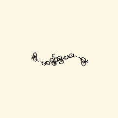 C=C(C)C(=O)OCCCCCOc1ccc(C(=O)Oc2cc(F)c(OC(=O)c3ccc(OCCCCCOC(=O)C(=C)C)cc3)c(F)c2)cc1